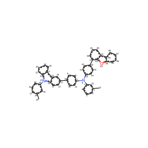 Cc1cccc(N(c2ccc(-c3ccc4c(c3)c3ccccc3n4-c3cccc(C)c3)cc2)c2ccc(-c3cccc4c3oc3ccccc34)cc2)c1